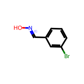 O/N=C/c1cccc(Br)c1